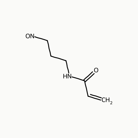 C=CC(=O)NCCCN=O